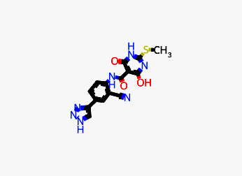 CSc1nc(O)c(C(=O)Nc2ccc(-c3c[nH]nn3)cc2C#N)c(=O)[nH]1